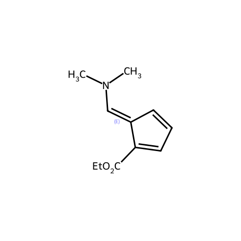 CCOC(=O)C1=CC=C/C1=C\N(C)C